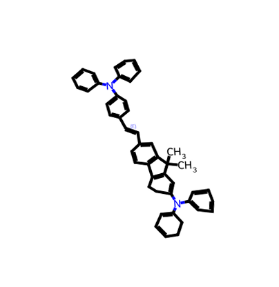 CC1(C)C2=C(CCC(N(C3=CC=CCC3)c3ccccc3)=C2)c2ccc(/C=C/c3ccc(N(c4ccccc4)c4ccccc4)cc3)cc21